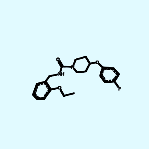 CCOc1ccccc1CNC(=O)N1CCC(Oc2ccc(F)cc2)CC1